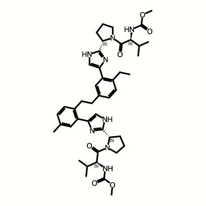 CCc1ccc(CCc2ccc(C)cc2-c2c[nH]c([C@@H]3CCCN3C(=O)[C@@H](NC(=O)OC)C(C)C)n2)cc1-c1c[nH]c([C@@H]2CCCN2C(=O)[C@@H](NC(=O)OC)C(C)C)n1